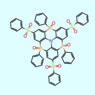 O=P1(c2ccccc2)c2cc(S(=O)(=O)c3ccccc3)cc3c2N2c4c1cc(S(=O)(=O)c1ccccc1)cc4P(=O)(c1ccccc1)c1cc(S(=O)(=O)c4ccccc4)cc(c12)P3(=O)c1ccccc1